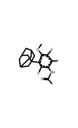 COc1c(F)c(F)c(NC(C)=O)c(F)c1C12CC3CC(CC(C3)C1)C2